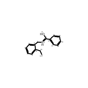 OC(=[SH]Cc1ccccc1CI)c1ccccc1